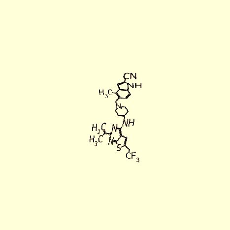 C=C(C)c1nc(NC2CCN(Cc3ccc4[nH]c(C#N)cc4c3C)CC2)c2cc(CC(F)(F)F)sc2n1